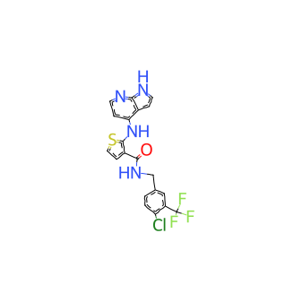 O=C(NCc1ccc(Cl)c(C(F)(F)F)c1)c1ccsc1Nc1ccnc2[nH]ccc12